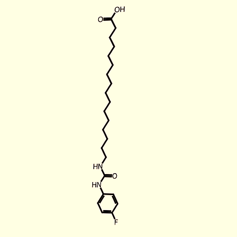 O=C(O)CCCCCCCCCCCCCCCNC(=O)Nc1ccc(F)cc1